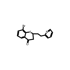 O=C1CC(CCc2ccccn2)Sc2c(Br)cccc21